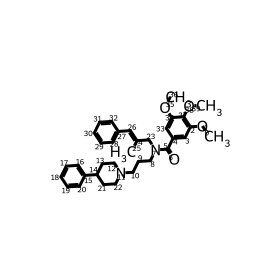 COc1cc(C(=O)N(CCCN2CCC(c3ccccc3)CC2)CC(C)=Cc2ccccc2)cc(OC)c1OC